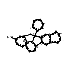 Oc1cccc(CC2(c3ccccc3)c3ccccc3-c3cc4ccccc4cc32)c1